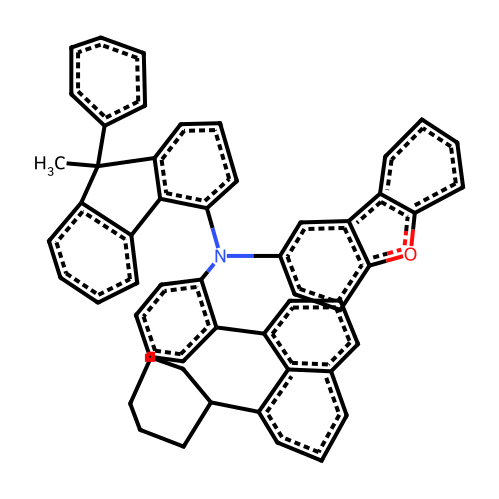 CC1(c2ccccc2)c2ccccc2-c2c(N(c3ccc4oc5ccccc5c4c3)c3ccccc3-c3cccc4cccc(C5CCCCC5)c34)cccc21